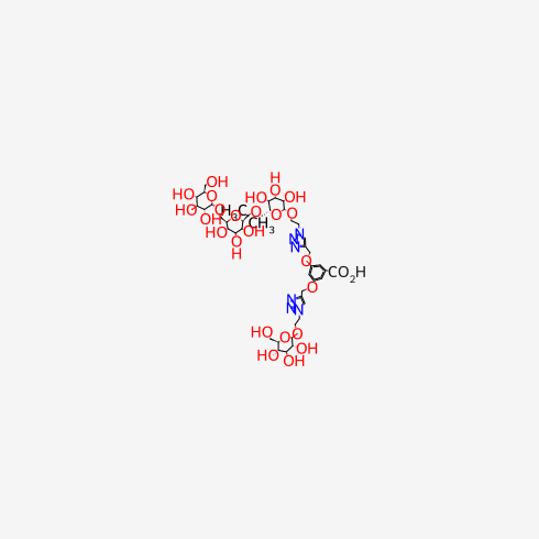 CC(C)(OC[C@H]1O[C@@H](OCCn2cc(COc3cc(OCc4cn(CCO[C@@H]5O[C@H](CO)[C@@H](O)[C@H](O)[C@H]5O)nn4)cc(C(=O)O)c3)nn2)[C@H](O)[C@@H](O)[C@@H]1O)[C@@H]1O[C@H](CO[C@@H]2O[C@H](CO)[C@@H](O)[C@H](O)[C@H]2O)[C@@H](O)[C@H](O)[C@H]1O